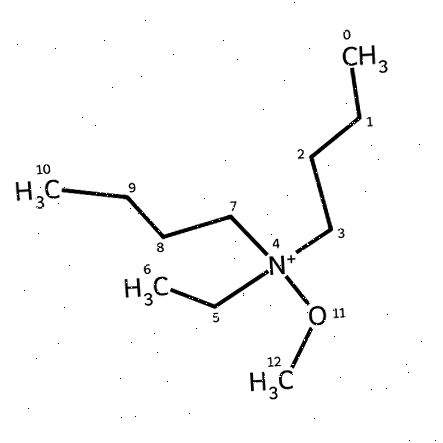 CCCC[N+](CC)(CCCC)OC